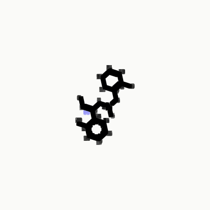 C/C=C(\CN(C)CC1=C(C)C=CCC1)c1ccccc1C